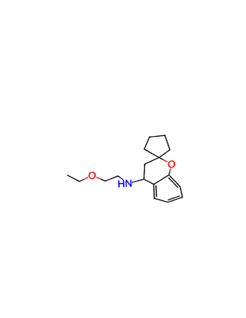 CCOCCNC1CC2(CCCC2)Oc2ccccc21